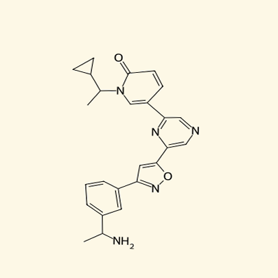 CC(N)c1cccc(-c2cc(-c3cncc(-c4ccc(=O)n(C(C)C5CC5)c4)n3)on2)c1